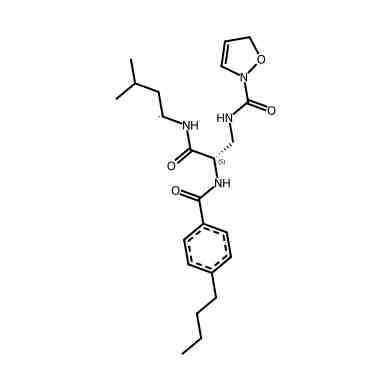 CCCCc1ccc(C(=O)N[C@@H](CNC(=O)N2C=CCO2)C(=O)N[CH]CC(C)C)cc1